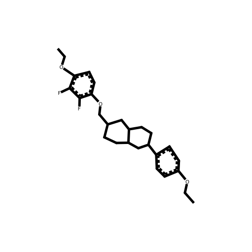 CCOc1ccc(C2CCC3CC(COc4ccc(OCC)c(F)c4F)CCC3C2)cc1